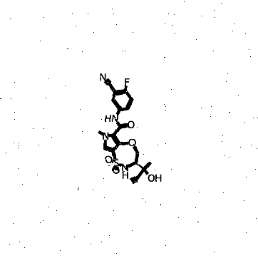 C#CC(C)(O)[C@@H]1COc2c(cn(C)c2C(=O)Nc2ccc(F)c(C#N)c2)S(=O)(=O)N1